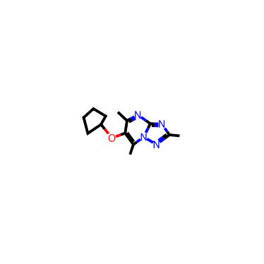 Cc1nc2nc(C)c(OC3CCCC3)c(C)n2n1